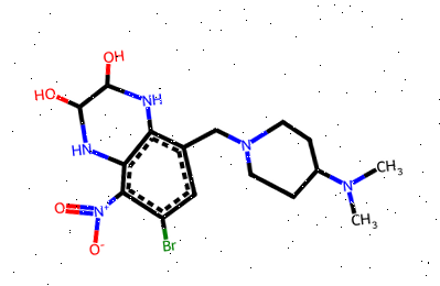 CN(C)C1CCN(Cc2cc(Br)c([N+](=O)[O-])c3c2NC(O)C(O)N3)CC1